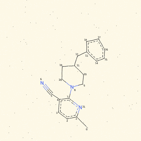 Cc1ccc(C#N)c(N2CCC(Cc3ccccc3)CC2)n1